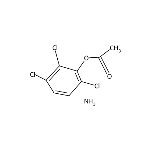 CC(=O)Oc1c(Cl)ccc(Cl)c1Cl.N